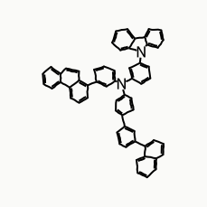 c1cc(-c2ccc(N(c3cccc(-c4cccc5c4ccc4ccccc45)c3)c3cccc(-n4c5ccccc5c5ccccc54)c3)cc2)cc(-c2cccc3ccccc23)c1